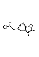 Cc1oc2ccc(CNCl)cc2c1C